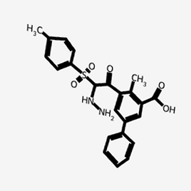 Cc1ccc(S(=O)(=O)C(NN)C(=O)c2cc(-c3ccccc3)cc(C(=O)O)c2C)cc1